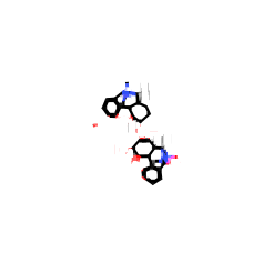 CN1CC[C@]23c4c5ccc(O)c4O[C@H]2[C@@H](O)C=C[C@H]3[C@H]1C5=O.COc1ccc2c3c1O[C@H]1[C@@H](O)CC[C@H]4[C@@H](C2)N(C)CC[C@@]341